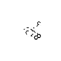 CN1CCCC1COc1nc(N2CCN(C(=O)O)C(CC#N)C2)c2nc(C(F)(F)F)n(-c3cccc4cccc(F)c34)c(=O)c2n1